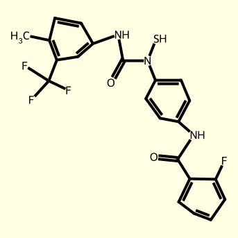 Cc1ccc(NC(=O)N(S)c2ccc(NC(=O)c3ccccc3F)cc2)cc1C(F)(F)F